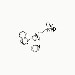 CS(=O)(=O)NCCCn1cc(-c2ccnc3ccccc23)c(-c2ccccn2)n1